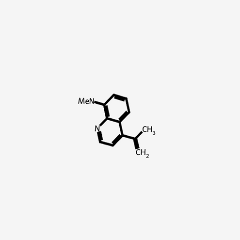 C=C(C)c1ccnc2c(NC)cccc12